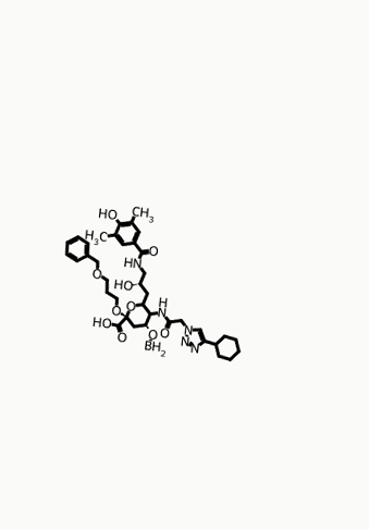 BO[C@@H]1C[C@](OCCCOCc2ccccc2)(C(=O)O)OC(C[C@H](O)CNC(=O)c2cc(C)c(O)c(C)c2)C1NC(=O)Cn1cc(C2CCCCC2)nn1